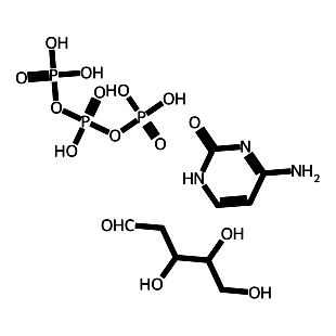 Nc1cc[nH]c(=O)n1.O=CCC(O)C(O)CO.O=P(O)(O)OP(=O)(O)OP(=O)(O)O